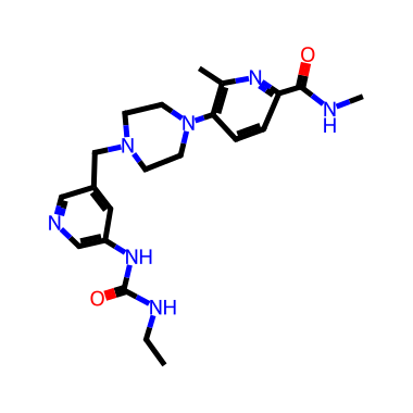 CCNC(=O)Nc1cncc(CN2CCN(c3ccc(C(=O)NC)nc3C)CC2)c1